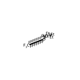 CC[N+](CC)(CC)CC.O=S([O-])OC(F)(F)C(F)(F)C(F)(F)C(F)(F)C(F)(F)C(F)(F)C(F)(F)C(F)(F)F